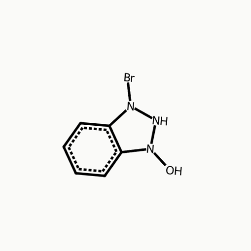 ON1NN(Br)c2ccccc21